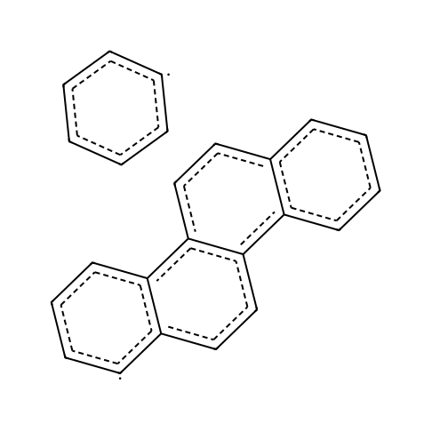 [c]1cccc2c1ccc1c3ccccc3ccc21.[c]1ccccc1